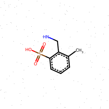 Cc1cccc(S(=O)(=O)O)c1C[NH]